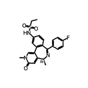 CCS(=O)(=O)Nc1ccc2c(c1)-c1cn(C)c(=O)cc1[C@H](C)N=C2c1ccc(F)cc1